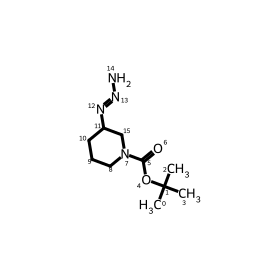 CC(C)(C)OC(=O)N1CCCC(N=NN)C1